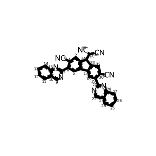 N#Cc1cc2c(cc1-c1ncc3ccccc3n1)-c1cc(-c3ncc4ccccc4n3)c(C#N)cc1C2C(C#N)C#N